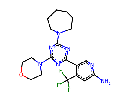 Nc1cc(C(F)(F)F)c(-c2nc(N3CCCCCC3)nc(N3CCOCC3)n2)cn1